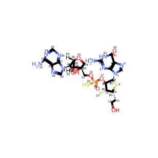 Nc1nc2c(ncn2[C@@H]2S[C@H](CCO)[C@H](F)[C@H]2OP(=O)(S)OC[C@@]23CO[C@@H]([C@H](n4cnc5c(N)ncnc54)O2)[C@@H]3O)c(=O)[nH]1